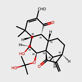 C=C1C(=O)[C@]23[C@H](C)[C@H]1CC[C@H]2[C@@]12CO[C@]3(OC(C)(C)O)[C@@H](O)[C@@H]1C(C)(C)C=C(C=O)C2=O